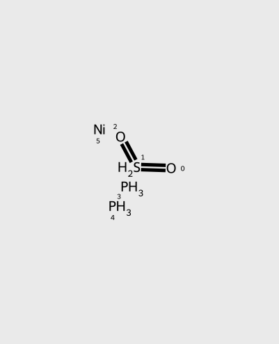 O=[SH2]=O.P.P.[Ni]